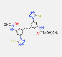 CN(O)C(=O)Nc1cc(CCc2cc(NN(O)C=O)cc(-n3nnnc3S)c2)cc(-n2nnnc2S)c1